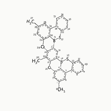 Cc1cc2c3c(c1)-c1ccccc1SB3c1cc3c(c(C)c1O2)Oc1cc(C)cc2c1B3Sc1ccccc1-2